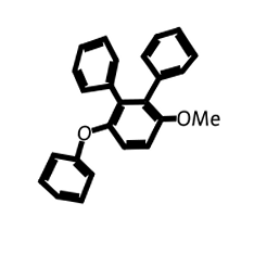 COc1ccc(Oc2ccccc2)c(-c2ccccc2)c1-c1ccccc1